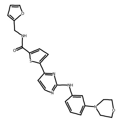 O=C(NCc1ccco1)c1ccc(-c2ccnc(Nc3cccc(N4CCOCC4)c3)n2)s1